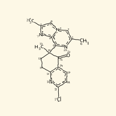 Cc1cn2cc(C)nc2c(C2(C)CCc3nc(Cl)ccc3C2=O)n1